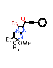 CCC1=CN2C(=NC1(C)OC)N=C(C(=O)C#Cc1ccccc1)C2Br